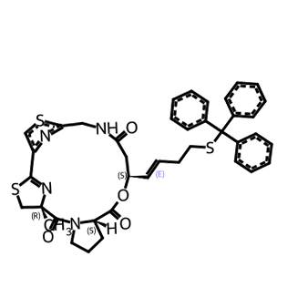 C[C@@]12CSC(=N1)c1csc(n1)CNC(=O)C[C@@H](/C=C/CCSC(c1ccccc1)(c1ccccc1)c1ccccc1)OC(=O)[C@@H]1CCCN1C2=O